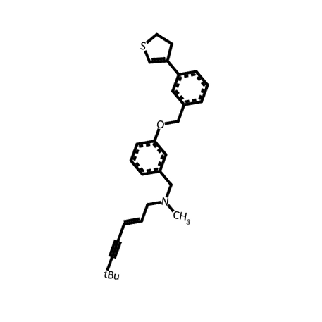 CN(C/C=C/C#CC(C)(C)C)Cc1cccc(OCc2cccc(C3=CSCC3)c2)c1